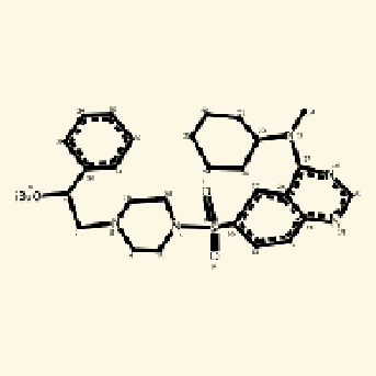 CC(C)COC(CN1CCN(S(=O)(=O)c2ccc3ncnc(N(C)C4CCCCC4)c3c2)CC1)c1ccccc1